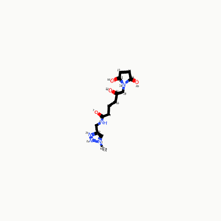 CCn1cc(CNC(=O)CCCC(=O)CN2C(=O)CCC2=O)nn1